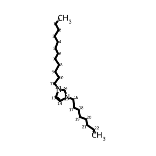 CCCCCCCCCCCCN1C=CN(CCCCCCCC)C1